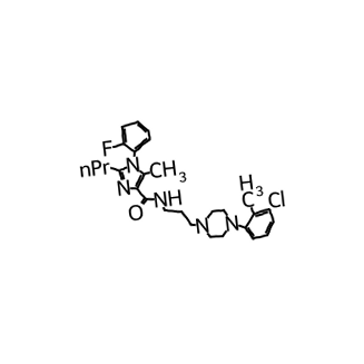 CCCc1nc(C(=O)NCCCN2CCN(c3cccc(Cl)c3C)CC2)c(C)n1-c1ccccc1F